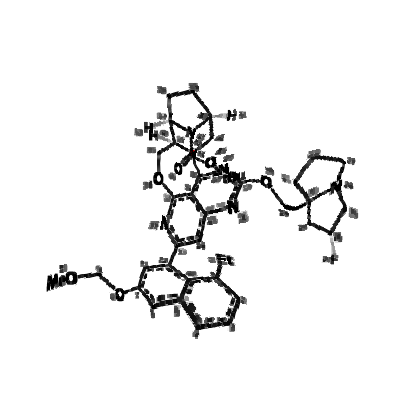 CCc1cccc2cc(OCOC)cc(-c3cc4nc(OC[C@@]56CCCN5C[C@H](F)C6)nc5c4c(n3)OC[C@H]3[C@H]4CC[C@@H](CN53)N4C(=O)OC(C)(C)C)c12